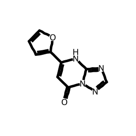 O=c1cc(-c2ccco2)[nH]c2ncnn12